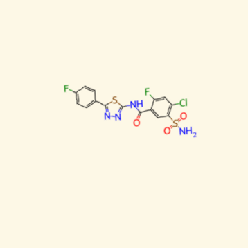 NS(=O)(=O)c1cc(C(=O)Nc2nnc(-c3ccc(F)cc3)s2)c(F)cc1Cl